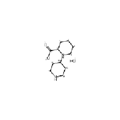 Cl.O=C(Cl)C1CCCCN1C1CCNCC1